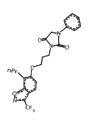 CCCc1c(OCCCN2C(=O)CN(c3ccccc3)C2=O)ccc2c(C(F)(F)F)noc12